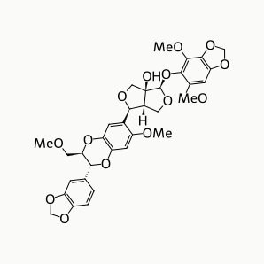 COC[C@H]1Oc2cc([C@H]3OC[C@]4(O)[C@@H](Oc5c(OC)cc6c(c5OC)OCO6)OC[C@H]34)c(OC)cc2O[C@@H]1c1ccc2c(c1)OCO2